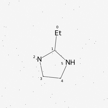 CCC1[N]CCN1